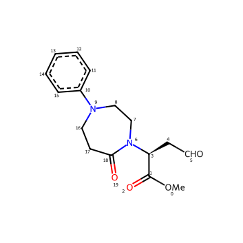 COC(=O)[C@H](CC=O)N1CCN(c2ccccc2)CCC1=O